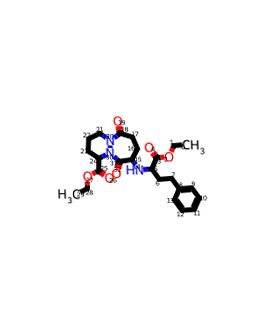 CCOC(=O)C(CCc1ccccc1)NC1CCC(=O)N2CCCC(C(=O)OCC)N2C1=O